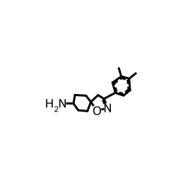 Cc1ccc(C2=NOC3(CCC(N)CC3)C2)cc1C